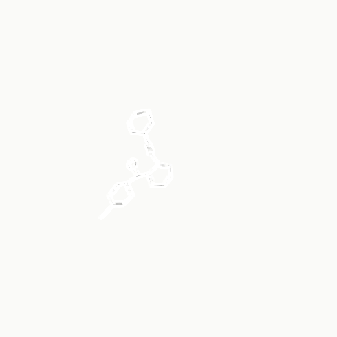 Cc1ccc(C(=O)c2ccccc2C#Cc2ccccc2)cc1